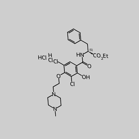 CCOC(=O)[C@H](Cc1ccccc1)NC(=O)c1cc(Cl)c(OCCN2CCN(C)CC2)c(Cl)c1O.Cl.Cl